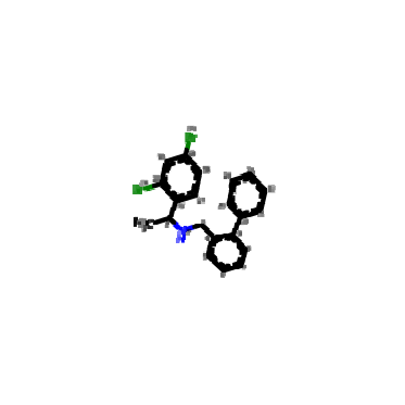 CC(NCc1ccccc1-c1ccccc1)c1ccc(Br)cc1Br